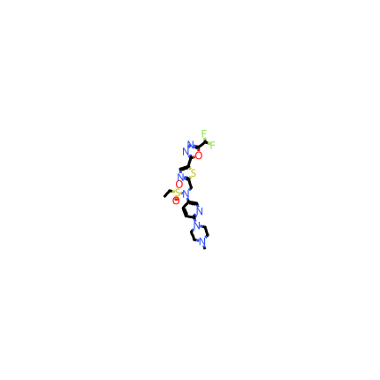 CCS(=O)(=O)N(Cc1ncc(-c2nnc(C(F)F)o2)s1)c1ccc(N2CCN(C)CC2)nc1